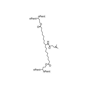 CCCCCC(CCCCC)CCOC(=O)CCCCCCCCC(CCCCCCCCC(=O)OCCC(CCCCC)CCCCC)NC(=O)CCN(C)C